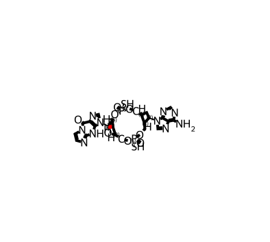 Nc1ncnc2c1ncn2[C@@H]1C[C@@H]2CO[P@](=O)(S)O[C@@H]3[C@H](F)[C@@H](CO[P@@](=O)(S)OC[C@H]21)O[C@H]3n1cnc2c(=O)n3ccnc3[nH]c21